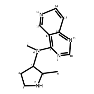 CC1NCCC1N(C)c1ncnc2ccncc12